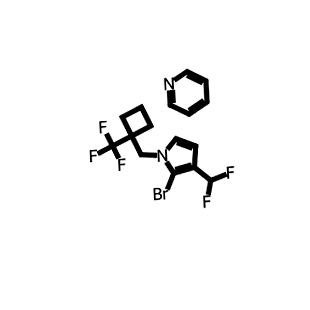 FC(F)c1ccn(CC2(C(F)(F)F)CCC2)c1Br.c1ccncc1